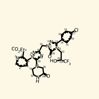 CCOC(=O)c1ncccc1-n1nc(Cn2nc(-c3ccc(Cl)cc3)n(C[C@H](O)C(F)(F)F)c2=O)nc1N1CCNC(=O)C1